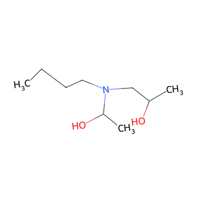 CCCCN(CC(C)O)C(C)O